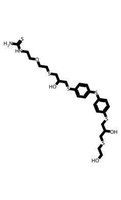 NC(=S)NCCOCCSCC(O)CSc1ccc(Sc2ccc(SCC(O)CSCCO)cc2)cc1